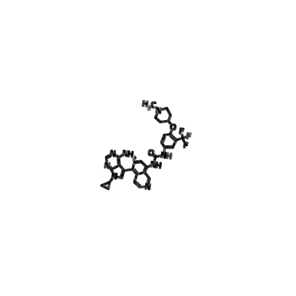 CN1CCC(Oc2ccc(NC(=O)Nc3ccc(-c4cn(C5CC5)c5ncnc(N)c45)c4ccncc34)cc2C(F)(F)F)CC1